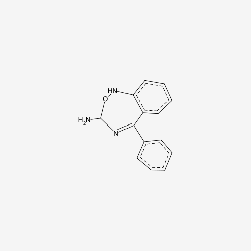 NC1N=C(c2ccccc2)c2ccccc2NO1